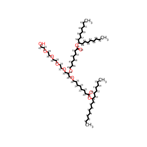 CCCCCCCCCC(CCCCCCC)OC(=O)CCCCCCCOCC(COCCOCCOCCOCCO)OCCCCCCCC(=O)OC(CCCCCCCC)CCCCCCCC